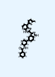 Cc1ccc(-c2ccnc3[nH]c(-c4n[nH]c5ccc(-c6cncc(NC(=O)c7ccccc7)c6)cc45)nc23)s1